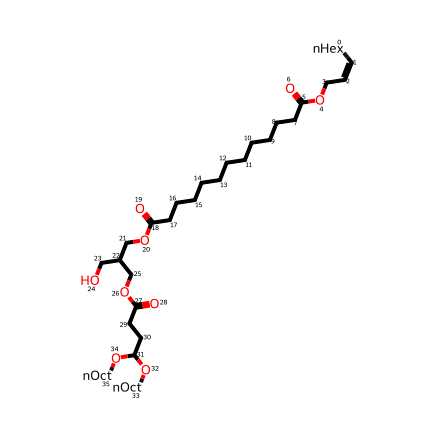 CCCCCC/C=C\COC(=O)CCCCCCCCCCCC(=O)OCC(CO)COC(=O)CCC(OCCCCCCCC)OCCCCCCCC